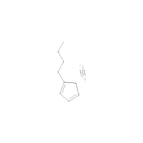 CCCCC1=CC=CC1.N#N